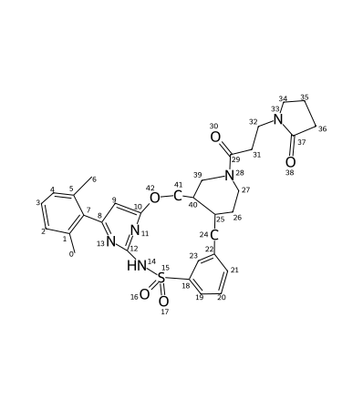 Cc1cccc(C)c1-c1cc2nc(n1)NS(=O)(=O)c1cccc(c1)CC1CCN(C(=O)CCN3CCCC3=O)CC1CO2